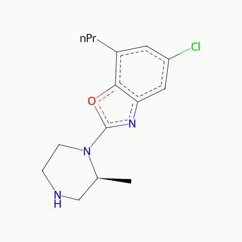 CCCc1cc(Cl)cc2nc(N3CCNC[C@@H]3C)oc12